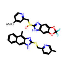 COc1ccnc(C[S+]([O-])c2nc3cc4c(cc3[nH]2)OC(F)(F)O4)c1.Cc1ccc(CSc2nc3c(C)c4ccccc4cc3[nH]2)nc1